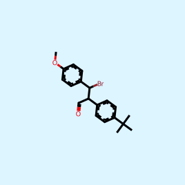 COc1ccc(C(Br)C(C=O)c2ccc(C(C)(C)C)cc2)cc1